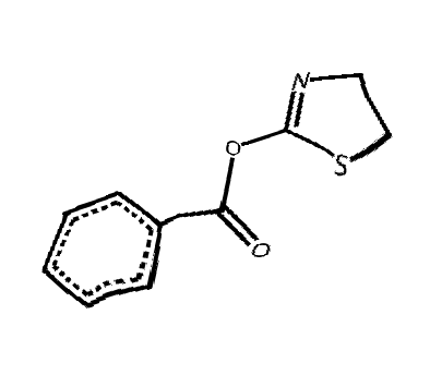 O=C(OC1=NCCS1)c1ccccc1